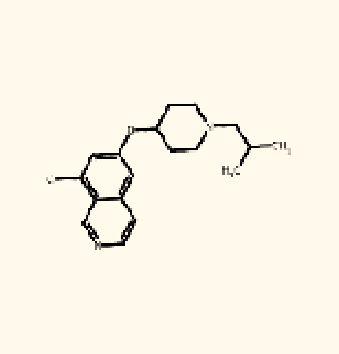 CC(C)CN1CCC(Oc2cc(Cl)c3cnccc3c2)CC1